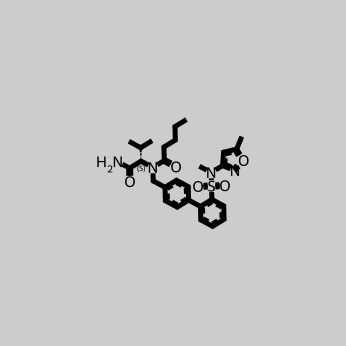 CCCCC(=O)N(Cc1ccc(-c2ccccc2S(=O)(=O)N(C)c2cc(C)on2)cc1)[C@H](C(N)=O)C(C)C